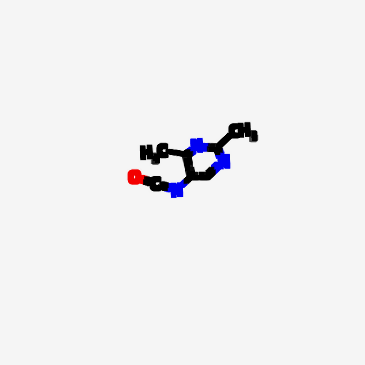 Cc1ncc(N=C=O)c(C)n1